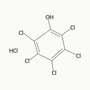 Cl.Oc1c(Cl)c(Cl)c(Cl)c(Cl)c1Cl